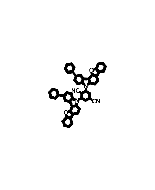 N#Cc1cc(-n2c3ccc(-c4ccccc4)cc3c3c4oc5ccccc5c4ccc32)c(C#N)c(-n2c3ccc(-c4ccccc4)cc3c3c4oc5ccccc5c4ccc32)c1